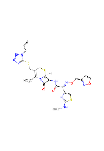 C=CCn1nnnc1SCC1=C(C(=O)O)N2C(=O)C(NC(=O)C(=NOCc3ccon3)c3csc(NC=O)n3)[C@@H]2SC1